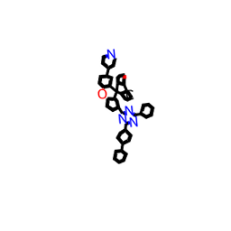 c1ccc(-c2ccc(-c3nc(-c4ccccc4)nc(-c4ccc5c(c4)C4(c6cc(-c7ccncc7)ccc6O5)c5ccccc5-c5ccccc54)n3)cc2)cc1